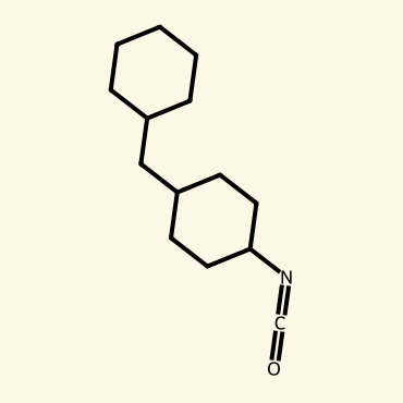 O=C=NC1CCC(CC2CCCCC2)CC1